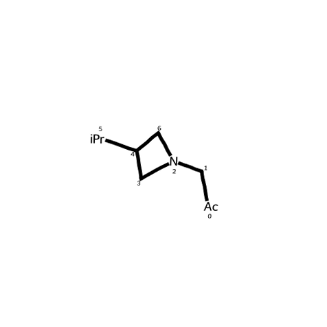 CC(=O)CN1CC(C(C)C)C1